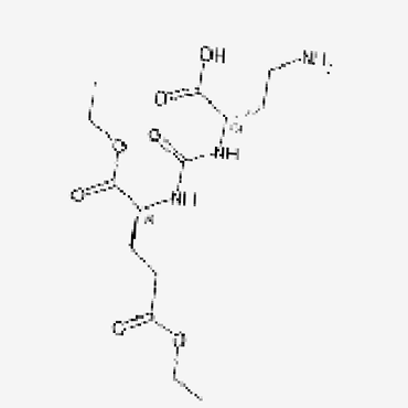 CCOC(=O)CC[C@H](NC(=O)N[C@@H](CCN)C(=O)O)C(=O)OCC